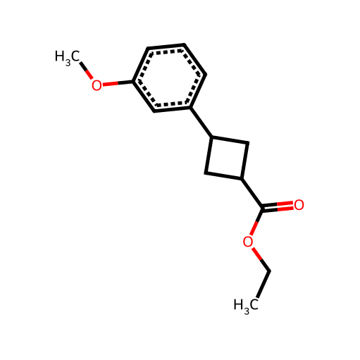 CCOC(=O)C1CC(c2cccc(OC)c2)C1